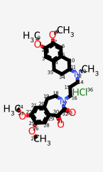 COc1cc2c(cc1OC)CC(N(C)CCCN1CCc3cc(OC)c(OC)cc3C(=O)C1=O)CC2.Cl